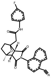 C[C@]12CCC(CC(=O)Nc3ccc(F)cc3)(O1)[C@@H]1C(=O)N(c3ccc(C#N)c4ccccc34)C(=O)[C@@H]12